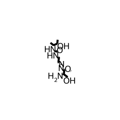 CO/C(=N\N=C\CNC(=O)NC(C)C(C)O)[C@@H](N)CO